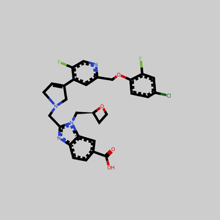 O=C(O)c1ccc2nc(CN3CC=C(c4cc(COc5ccc(Cl)cc5F)ncc4F)C3)n(C[C@@H]3CCO3)c2c1